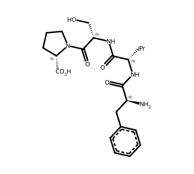 CC(C)[C@H](NC(=O)[C@@H](N)Cc1ccccc1)C(=O)N[C@@H](CO)C(=O)N1CCC[C@H]1C(=O)O